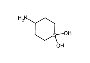 NC1CCS(O)(O)CC1